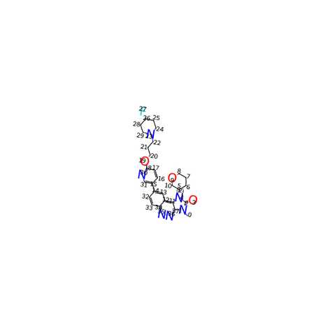 Cn1c(=O)n([C@@H]2CCCOC2)c2c3cc(-c4ccc(OCCCN5CCC(F)CC5)nc4)ccc3nnc21